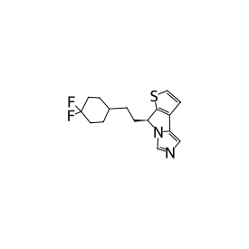 FC1(F)CCC(CC[C@H]2c3sccc3-c3cncn32)CC1